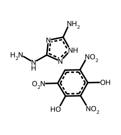 NNc1n[nH]c(N)n1.O=[N+]([O-])c1cc([N+](=O)[O-])c(O)c([N+](=O)[O-])c1O